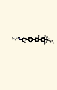 C/C=C/C1CCC(c2ccc(-c3ccc(-c4cc(F)c(C(F)(F)OC(F)(F)F)c(F)c4)c(F)c3)cc2)OC1